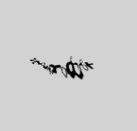 CC(C)(C)OC(=O)N1CCc2cc(OCc3cnn(COCC[Si](C)(C)C)c3)cc(F)c2C1